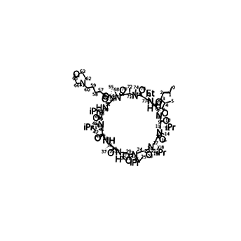 C/C=C/C[C@@H](C)[C@H]1ON2C(=O)[C@H](C(C)C)N(C)C(=O)[C@H](CC(C)C)N(C)C(=O)[C@H](CC(C)C)N(C)C(=O)[C@@H](C)NC(=O)[C@H](C)NC(=O)[C@H](CC(C)C)N(C)C(=O)[C@H](C(C)C)NC(=O)C([C@@H](C)OCCCCN3CCOCC3)N(C)C(=O)[C@@H](C)N(C)C(=O)[C@H](CC)NC(=O)[C@H]12